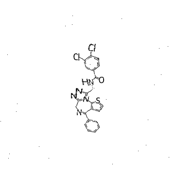 O=C(NCc1nnc2n1-c1sccc1C(c1ccccc1)=NC2)c1ccc(Cl)c(Cl)c1